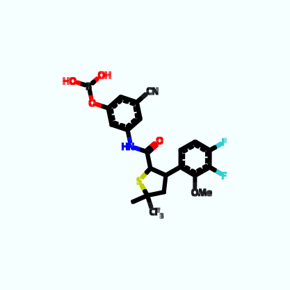 COc1c(C2CC(C)(C(F)(F)F)SC2C(=O)Nc2cc(C#N)cc(OB(O)O)c2)ccc(F)c1F